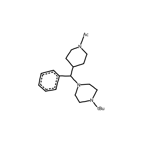 CC(=O)N1CCC(C(c2ccccc2)N2CCN(C(C)(C)C)CC2)CC1